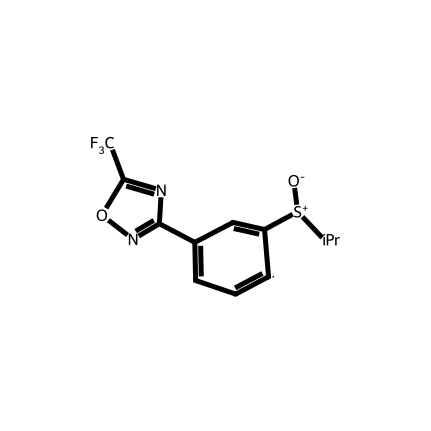 CC(C)[S+]([O-])c1[c]ccc(-c2noc(C(F)(F)F)n2)c1